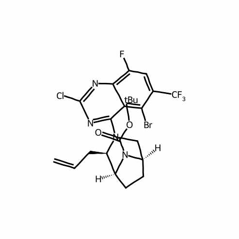 C=CC[C@@H]1[C@@H]2CC[C@H](CN1c1nc(Cl)nc3c(F)cc(C(F)(F)F)c(Br)c13)N2C(=O)OC(C)(C)C